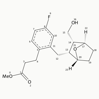 COC(=O)CCc1ccc(F)cc1C[C@@H]1[C@H](CO)[C@H]2CC[C@H]1O2